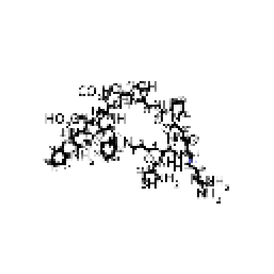 NCCCC[C@H](NC(=O)[C@@H](N)CS)C(=O)N[C@@H](/C=C/CN=C(N)N)C(=O)NCC(=O)N1CCC[C@H]1C(=O)NCC(=O)N[C@@H](CO)C(=O)N[C@@H](CC(=O)O)C(=O)N[C@@H](Cc1ccccc1)C(=O)N[C@@H](CC(=O)O)C(=O)N[C@@H](Cc1ccccc1)C(N)=O